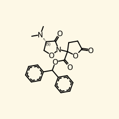 CN(C)[C@H]1CON(C2(C(=O)OC(c3ccccc3)c3ccccc3)CCC(=O)O2)C1=O